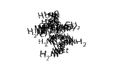 CC[C@H]1O[C@@H](n2cnc3c(N)ncnc32)CC1OP(=O)(S)OC[C@H]1O[C@@H](n2cnc3c(N)ncnc32)CC1OP(=O)(S)OC[C@H]1O[C@@H](n2cnc3c(N)ncnc32)CC1OP(=O)(S)OC[C@H]1O[C@@H](n2cc(C)c(=O)[nH]c2=O)CC1OP(=O)(S)OC[C@H]1O[C@@H](n2cnc3c(=O)[nH]c(N)nc32)CC1OP(=O)(S)OC[C@H]1O[C@@H](n2cc(C)c(N)nc2=O)CC1OP(=O)(S)OC